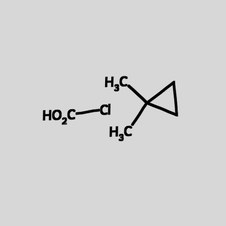 CC1(C)CC1.O=C(O)Cl